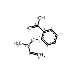 C=CN(C)C.O=C(O)c1ccccc1